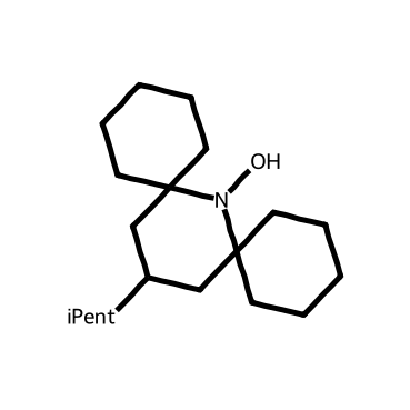 CCCC(C)C1CC2(CCCCC2)N(O)C2(CCCCC2)C1